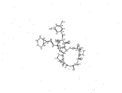 C[C@@H]1NC(=O)[C@H](C)N(C)C(=O)[C@@H]2CCCN2C(=O)[C@@H](NC(=O)[C@H](Cc2cc(F)cc(F)c2)NC(=O)/C=C/C2C3CCCCC23)COC(=O)[C@@H]2CCCN2C1=O